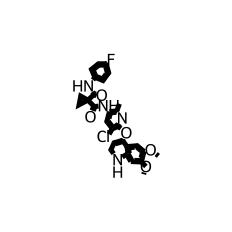 COc1cc2c(cc1OC)C(Oc1nc(C)c(NC(=O)C3(C(=O)Nc4ccc(F)cc4)CC3)cc1Cl)=CCN2